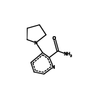 NC(=O)c1ncccc1N1CCCC1